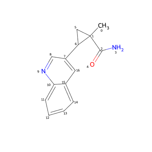 CC1(C(N)=O)CC1c1cnc2ccccc2c1